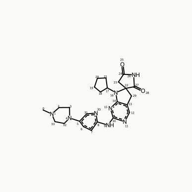 CN1CCN(c2ccc(Nc3ncc4c(n3)N(C3CCCC3)C3(CC(=O)NC3=O)C4)nc2)CC1